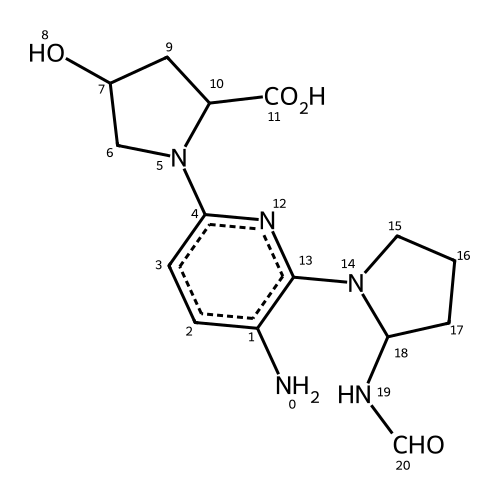 Nc1ccc(N2CC(O)CC2C(=O)O)nc1N1CCCC1NC=O